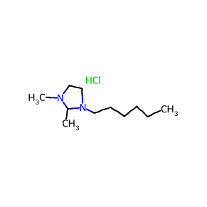 CCCCCCN1CCN(C)C1C.Cl